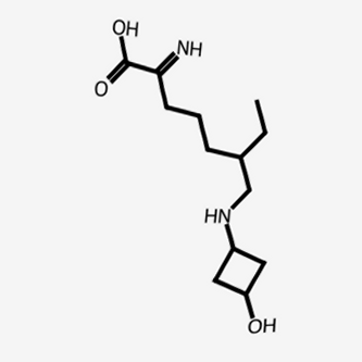 CCC(CCCC(=N)C(=O)O)CNC1CC(O)C1